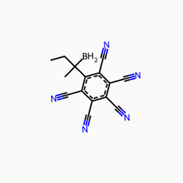 BC(C)(CC)c1c(C#N)c(C#N)c(C#N)c(C#N)c1C#N